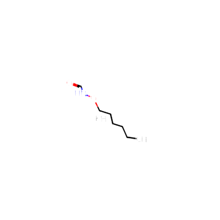 CCCCCCONC=O.[KH]